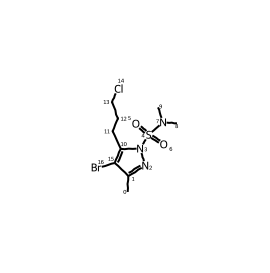 Cc1nn(S(=O)(=O)N(C)C)c(CCCCl)c1Br